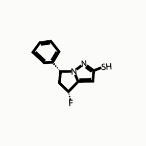 F[C@@H]1C[C@H](c2ccccc2)n2nc(S)cc21